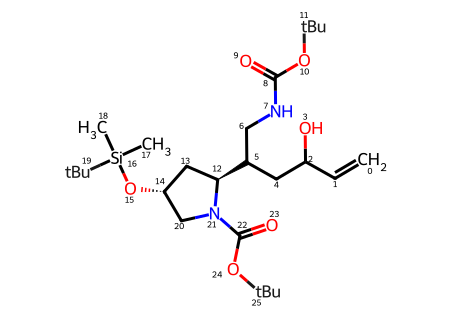 C=CC(O)CC(CNC(=O)OC(C)(C)C)[C@@H]1C[C@@H](O[Si](C)(C)C(C)(C)C)CN1C(=O)OC(C)(C)C